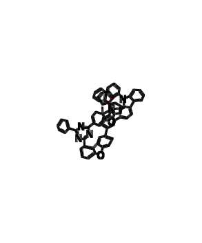 CC12CC=C(c3nc(-c4ccccc4)nc(-c4cccc5oc6ccc(-c7ccc8c(c7)c7ccc9c%10ccccc%10n(-c%10ccccc%10)c9c7n8-c7ccccc7)cc6c45)n3)C=C1Oc1cccc(-c3ccccc3)c12